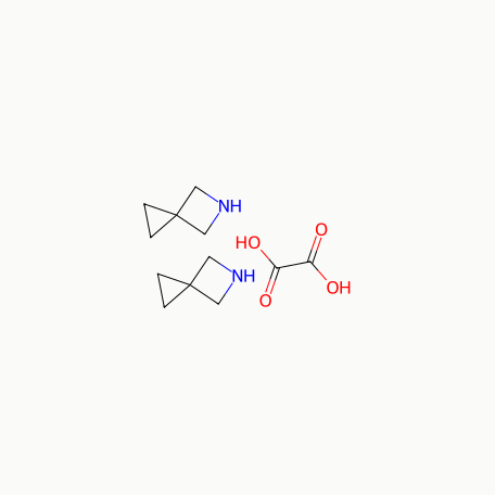 C1CC12CNC2.C1CC12CNC2.O=C(O)C(=O)O